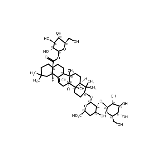 CC1(C)CC[C@]2(C(=O)O[C@@H]3O[C@H](CO)[C@@H](O)[C@H](O)[C@H]3O)CC[C@]3(C)C(=CC[C@@H]4[C@@]5(C)CC[C@H](O[C@@H]6O[C@H](C(=O)O)C[C@H](O)[C@H]6O[C@@H]6O[C@H](CO)[C@@H](O)[C@H](O)[C@H]6O)C(C)(C)[C@@H]5CC[C@]43C)[C@@H]2C1